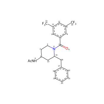 CC(=O)NC1CCN(C(=O)c2cc(C(F)(F)F)cc(C(F)(F)F)c2)C(Cc2ccccc2)C1